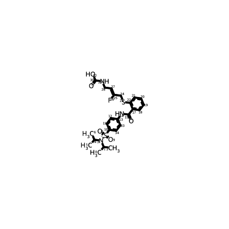 CC(C)N(C(C)C)S(=O)(=O)c1ccc(NC(=O)c2ccccc2SCC(F)=CCNC(=O)O)cc1